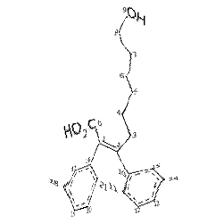 O=C(O)C(=C(CCCCCCO)c1ccccc1)c1ccccc1